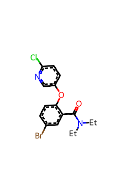 CCN(CC)C(=O)c1cc(Br)ccc1Oc1ccc(Cl)nc1